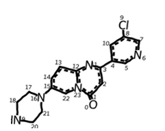 O=c1cc(-c2cncc(Cl)c2)nc2ccc(N3CCNCC3)cn12